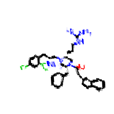 N=C(N)NCCC[C@H]1CN(C(=O)Cc2ccc3ccccc3c2)[C@H](CC2CCCCC2)CN1C[C@H](N)Cc1ccc(Cl)cc1Cl